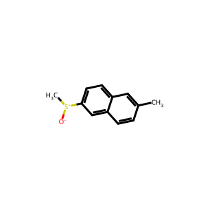 Cc1ccc2cc([S+](C)[O-])ccc2c1